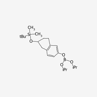 CC(C)OB(Oc1ccc2c(c1)CCC(O[Si](C)(C)C(C)(C)C)C2)OC(C)C